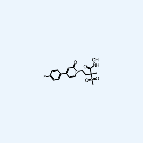 C[C@@](CCn1ccc(-c2ccc(F)cc2)cc1=O)(C(=O)NO)S(C)(=O)=O